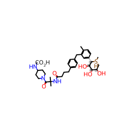 Cc1ccc([C@H]2[C@H](O)[C@H](O)[C@H](O)C[SH]2C)cc1Cc1ccc(CCCC(=O)NC(C)(C)C(=O)N2CCC(NC(=O)O)CC2)cc1